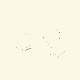 Cc1ccn2ccnc2c1-c1c(O)cccc1O